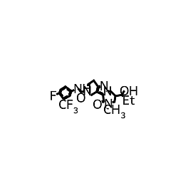 CCC(O)C1CN(C)C(=O)c2c3c(nn2C1)CCN(C(=O)Nc1ccc(F)c(C(F)(F)F)c1)C3